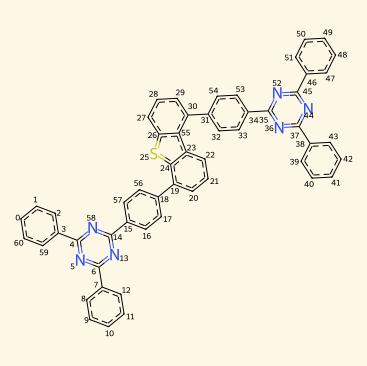 c1ccc(-c2nc(-c3ccccc3)nc(-c3ccc(-c4cccc5c4sc4cccc(-c6ccc(-c7nc(-c8ccccc8)nc(-c8ccccc8)n7)cc6)c45)cc3)n2)cc1